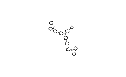 c1ccc(-c2ccc(N(c3ccc(-c4ccc(-c5cccc(-n6c7ccccc7c7ccccc76)c5)cc4)cc3)c3ccc(-c4ccc5c(c4)oc4c(-c6ccccc6)cccc45)cc3)cc2)cc1